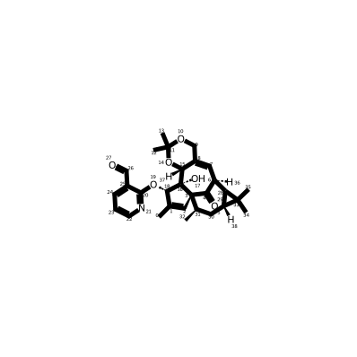 CC1=C[C@]23C(=O)[C@@H](C=C4COC(C)(C)O[C@H]4[C@]2(O)[C@H]1Oc1ncccc1C=O)C1[C@@H](C[C@H]3C)C1(C)C